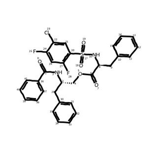 O=C(N[C@H](COC(=O)[C@H](Cc1ccccc1)NS(=O)(=O)c1cc(Cl)c(F)cc1F)Cc1ccccc1)c1ccccc1